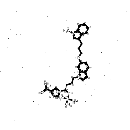 Cn1cc(CCCOc2ccc3ccn(CCC[C@@H](O[Si](C)(C)C(C)(C)C)n4cnc(C(N)=O)c4)c3c2)c2ccccc21